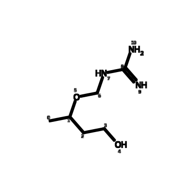 CC(CCO)OCNC(=N)N